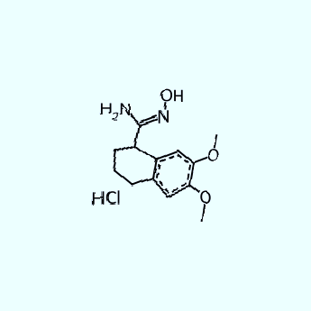 COc1cc2c(cc1OC)C(C(N)=NO)CCC2.Cl